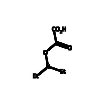 CCN(CC)OC(=O)C(=O)O